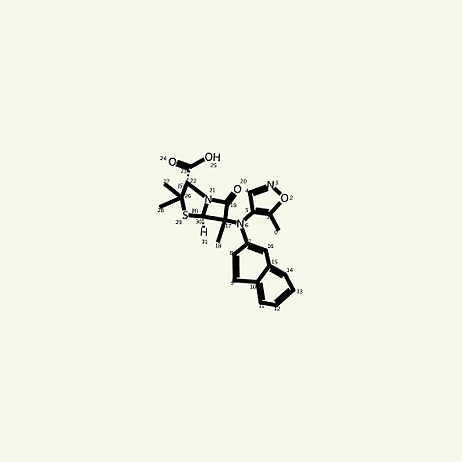 Cc1oncc1N(c1ccc2ccccc2c1)C1(C)C(=O)N2[C@@H](C(=O)O)C(C)(C)S[C@@H]21